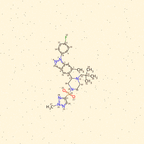 Cc1cc2c(cnn2-c2ccc(F)cc2)cc1C1CN(S(=O)(=O)c2cnn(C)n2)CCN1CC(C)(C)C